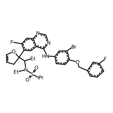 CCC(N(CC)S(=O)(=O)C(C)C)C1(c2cc3c(Nc4ccc(OCc5cccc(F)c5)c(Br)c4)ncnc3cc2F)CC=CO1